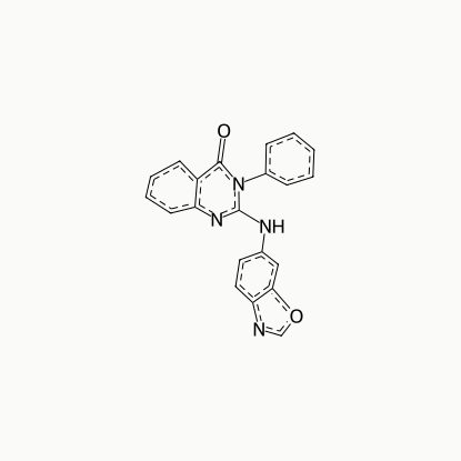 O=c1c2ccccc2nc(Nc2ccc3ncoc3c2)n1-c1ccccc1